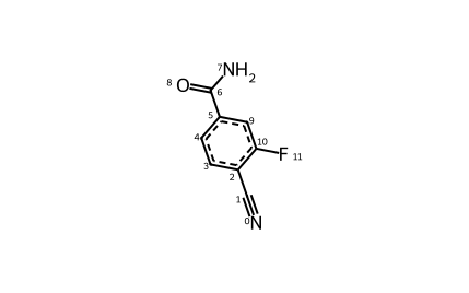 N#Cc1ccc(C(N)=O)cc1F